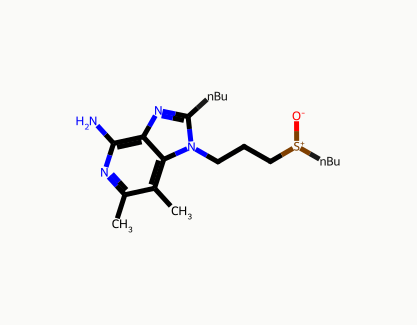 CCCCc1nc2c(N)nc(C)c(C)c2n1CCC[S+]([O-])CCCC